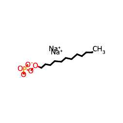 CCCCCCCCCCCCOOP(=O)([O-])[O-].[Na+].[Na+]